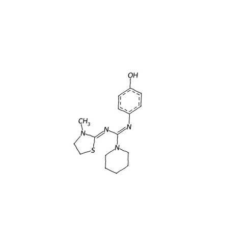 CN1CCSC1=NC(=Nc1ccc(O)cc1)N1CCCCC1